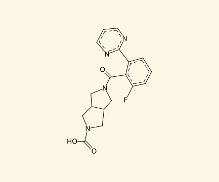 O=C(O)N1CC2CN(C(=O)c3c(F)cccc3-c3ncccn3)CC2C1